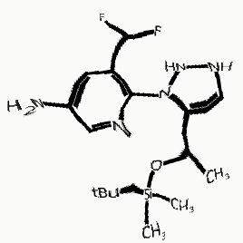 CC(O[Si](C)(C)C(C)(C)C)C1=CNNN1c1ncc(N)cc1C(F)F